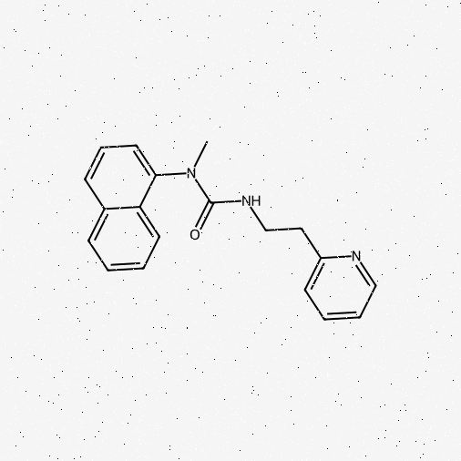 CN(C(=O)NCCc1ccccn1)c1cccc2ccccc12